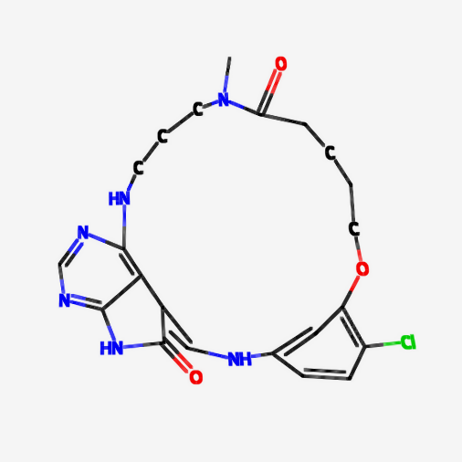 CN1CCCNc2ncnc3c2/C(=C/Nc2ccc(Cl)c(c2)OCCCCC1=O)C(=O)N3